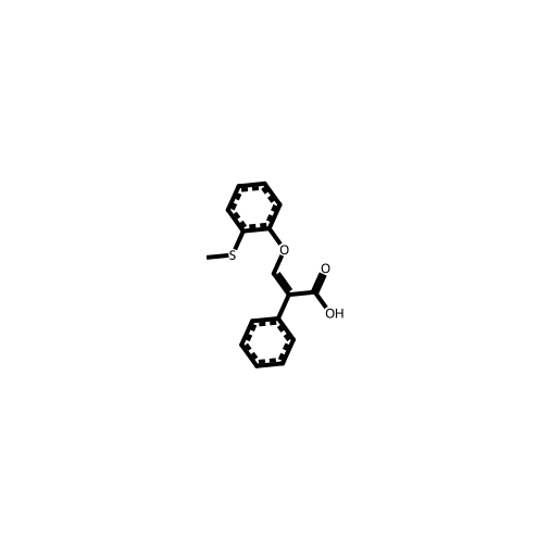 CSc1ccccc1OC=C(C(=O)O)c1ccccc1